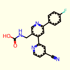 N#Cc1ccnc(-c2cc(-c3ccc(F)cc3)ncc2CNC(=O)O)c1